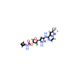 O=C(NC12CC(C1)C2)O[C@H]1CO[C@@H](c2cc(Nc3nccn4nc(C(F)(F)F)cc34)n[nH]2)[C@@H]1F